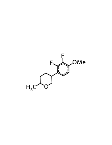 COc1ccc(C2CCC(C)OC2)c(F)c1F